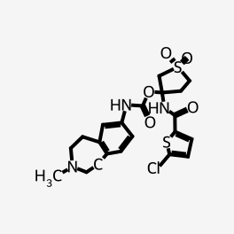 CN1CCc2ccc(NC(=O)OC3(NC(=O)c4ccc(Cl)s4)CCS(=O)(=O)C3)cc2CC1